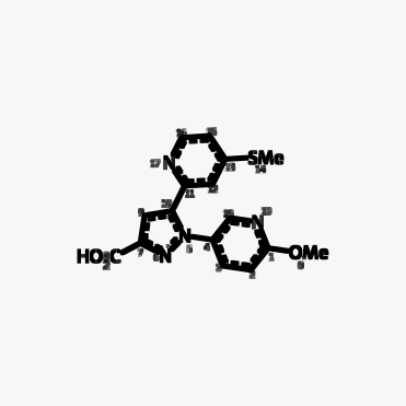 COc1ccc(-n2nc(C(=O)O)cc2-c2cc(SC)ccn2)cn1